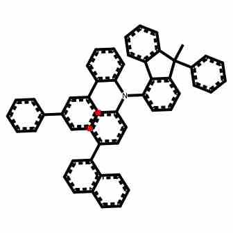 CC1(c2ccccc2)c2ccccc2-c2c(N(c3ccc(-c4cccc5ccccc45)cc3)c3ccccc3-c3cccc(-c4ccccc4)c3)cccc21